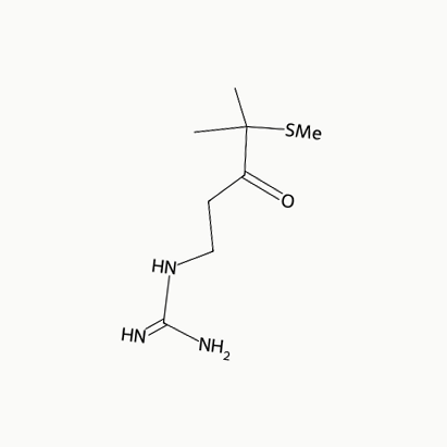 CSC(C)(C)C(=O)CCNC(=N)N